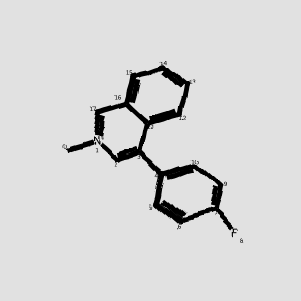 C[n+]1cc(-c2ccc(F)cc2)c2ccccc2c1